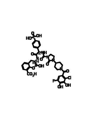 O=C(O)c1cccc2c1OB(O)[C@@H](NC(=O)[C@H](NC(=O)N1CCN(C3CCN(C(=O)c4cc(F)c(O)c(O)c4Cl)CC3)C1=O)c1ccc(P(=O)(O)O)cc1)C2